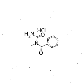 CN(C(N)=O)C(=O)c1ccccc1.Cl